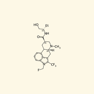 CC[C@@H](CO)NC(=O)[C@@H]1CC2c3cccc4c3c(c(C(F)(F)F)n4CF)C[C@H]2N(C)C1